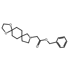 O=C(CN1CCC2(CCC3(CC2)OCCO3)C1)OCc1ccccc1